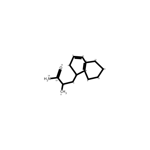 CC(CC1CC=CC2=C1CCCC2)C(N)=O